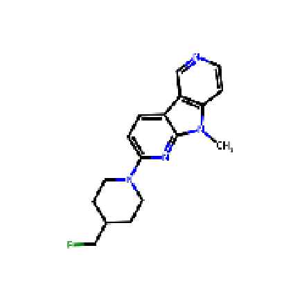 Cn1c2ccncc2c2ccc(N3CCC(CF)CC3)nc21